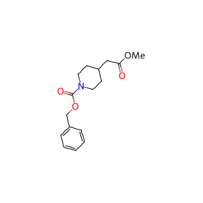 COC(=O)CC1CCN(C(=O)OCc2ccccc2)CC1